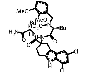 CCC(C)[C@H](NC(=O)[C@@]1(NC(=O)[C@H](C(C)CC)N(Cc2cccc(OC)c2OC)C(=O)O)CCc2[nH]c3c(Cl)cc(Cl)cc3c2C1)C(N)=O